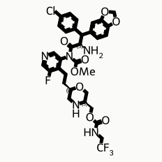 COC(=O)N(C(=O)[C@@H](N)C(c1ccc(Cl)cc1)c1ccc2c(c1)OCO2)c1cncc(F)c1CC[C@@H]1CN[C@H](COC(=O)NCC(F)(F)F)CO1